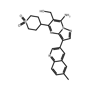 Cc1ccc2ncc(-c3cnn4c(N)c(CO)c(C5CCS(=O)(=O)CC5)nc34)cc2c1